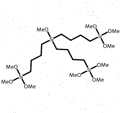 CO[Si](CCCC[Si](OC)(OC)OC)(CCCC[Si](OC)(OC)OC)CCCC[Si](OC)(OC)OC